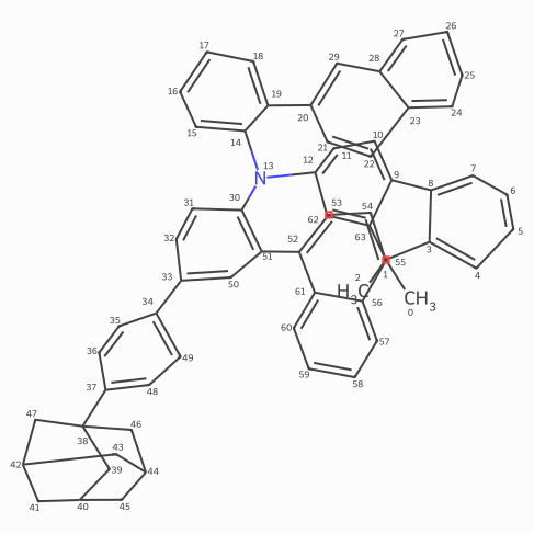 CC1(C)c2ccccc2-c2ccc(N(c3ccccc3-c3ccc4ccccc4c3)c3ccc(-c4ccc(C56CC7CC(CC(C7)C5)C6)cc4)cc3-c3cccc4ccccc34)cc21